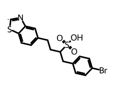 O=S(=O)(O)C(CCc1ccc2s[c]nc2c1)Cc1ccc(Br)cc1